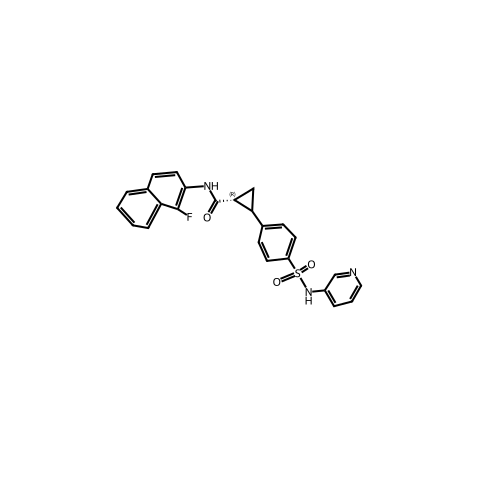 O=C(Nc1ccc2ccccc2c1F)[C@@H]1CC1c1ccc(S(=O)(=O)Nc2cccnc2)cc1